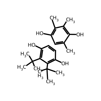 CC(C)(C)c1c(O)ccc(O)c1C(C)(C)C.Cc1cc(O)c(C)c(C)c1O